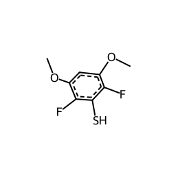 COc1cc(OC)c(F)c(S)c1F